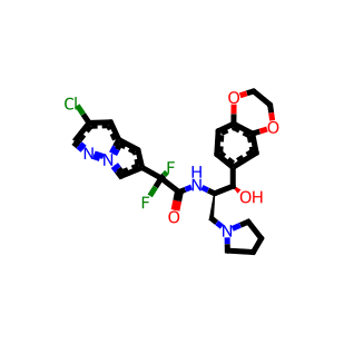 O=C(N[C@H](CN1CCCC1)[C@H](O)c1ccc2c(c1)OCCO2)C(F)(F)c1cc2cc(Cl)cnn2c1